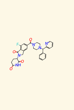 O=C1CCC(N2Cc3cc(C(=O)N4CCN(C(c5ccccc5)c5ccccn5)CC4)cc(F)c3C2=O)C(=O)N1